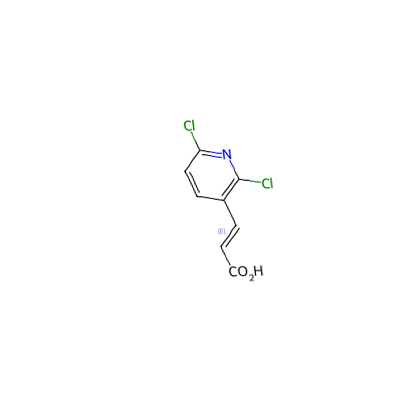 O=C(O)/C=C/c1ccc(Cl)nc1Cl